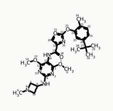 COc1nc(NC2CN(C)C2)nc(OC)c1NC(=O)c1coc(Oc2cc(C(C)(C)C)ccc2C)n1